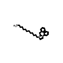 CCCCCCCCCCCCC[n+]1ccn(-c2ccccc2)c1Cc1ccccc1